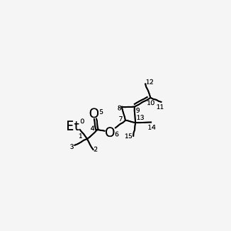 CCC(C)(C)C(=O)OC1CC(=C(C)C)C1(C)C